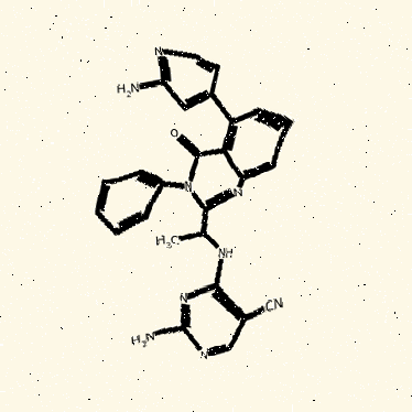 CC(Nc1nc(N)ncc1C#N)c1nc2cccc(-c3ccnc(N)c3)c2c(=O)n1-c1ccccc1